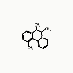 Cc1cccc2c1C1=CC=CCN1C(C)C2C